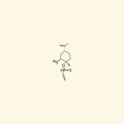 C#S[C@H]1C[C@H](C(=C)C)CC[C@]1(C)O[PH](=S)C=C